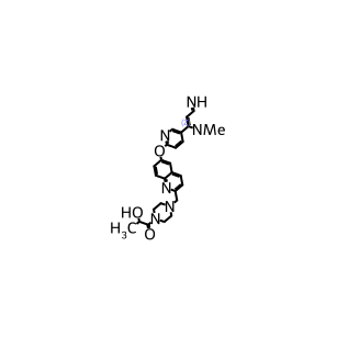 CN/C(=C\C=N)c1ccc(Oc2ccc3nc(CN4CCN(C(=O)C(C)O)CC4)ccc3c2)nc1